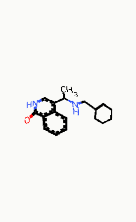 CC(NCC1CCCCC1)c1c[nH]c(=O)c2ccccc12